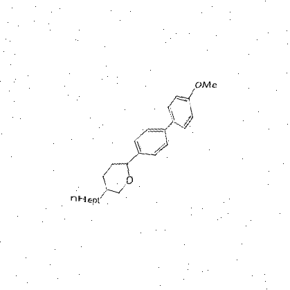 CCCCCCCC1CCC(c2ccc(-c3ccc(OC)cc3)cc2)OC1